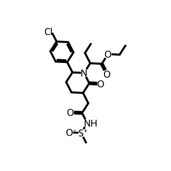 CCOC(=O)C(CC)N1C(=O)C(CC(=O)N[S+](C)[O-])CCC1c1ccc(Cl)cc1